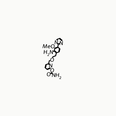 COc1c(-c2ncccn2)ccc(CCOCc2cccc(OC(N)=O)n2)c1N